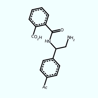 CC(=O)c1ccc(C(CN)NC(=O)c2ccccc2C(=O)O)cc1